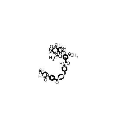 COc1cc(C(=O)NN2CCC(CN3CCN(C(=O)c4ccc(N5CCC(OC)NC5=O)cc4)CC3)CC2)ccc1Nc1ncc2c(n1)N(C(C)C)CC(F)(F)C(=O)N2C